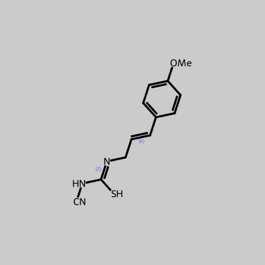 COc1ccc(/C=C/C/N=C(\S)NC#N)cc1